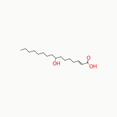 CCCCCCCCC(O)CCCCC=CC(=O)O